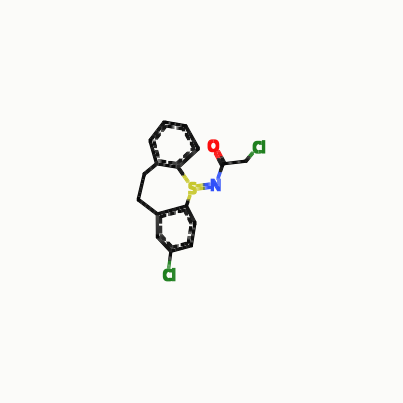 O=C(CCl)/N=S1\c2ccccc2CCc2cc(Cl)ccc21